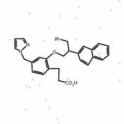 CC(C)CC(COc1cc(Cn2cccn2)ccc1CCC(=O)O)c1ccc2ccccc2c1